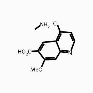 CN.COc1cc2nccc(Cl)c2cc1C(=O)O